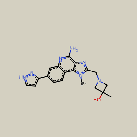 CC(C)n1c(CN2CC(C)(O)C2)nc2c(N)nc3cc(-c4cc[nH]n4)ccc3c21